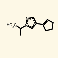 CC(C(=O)O)n1cc(C2=CCCC2)cn1